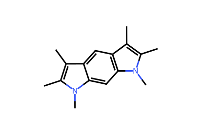 Cc1c(C)n(C)c2cc3c(cc12)c(C)c(C)n3C